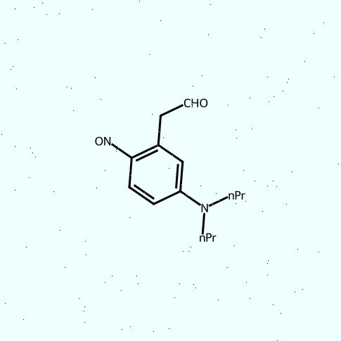 CCCN(CCC)c1ccc(N=O)c(CC=O)c1